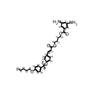 Nc1cc(N)cc(C(=O)OCCCCOC(=O)/C=C/c2ccc(OC(F)(F)c3ccc(OCCCCF)cc3)cc2)c1